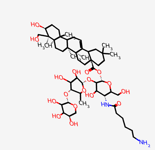 CC1O[C@@H](OC2C(O)[C@@H](NC(=O)CCCCCN)C(CO)O[C@H]2OC(=O)[C@]23CCC(C)(C)CC2C2=CCC4C5(C)CC[C@H](O)[C@](C)(CO)[C@@H]5CC[C@]4(C)[C@]2(C)CC3)C(O)C(O)[C@H]1O[C@@H]1OC[C@@H](O)C(O)C1O